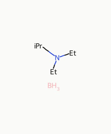 B.CCN(CC)C(C)C